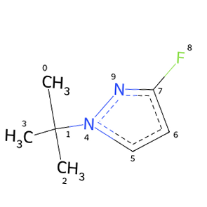 CC(C)(C)n1ccc(F)n1